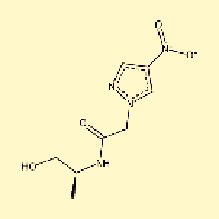 C[C@@H](CO)NC(=O)Cn1cc([N+](=O)[O-])cn1